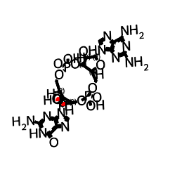 Nc1nc(N)c2ncn([C@@H]3O[C@@H]4COP(=O)(O)O[C@@H]5[C@H](O)[C@@H](COP(=O)(O)O[C@H]4[C@H]3O)O[C@H]5n3cnc4c(=O)[nH]c(N)nc43)c2n1